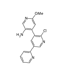 COc1cc(-c2cc(-c3ccccn3)cnc2Cl)c(N)cn1